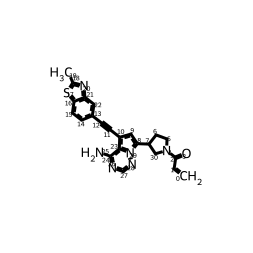 C=CC(=O)N1CCC(c2cc(C#Cc3ccc4sc(C)nc4c3)c3c(N)ncnn23)C1